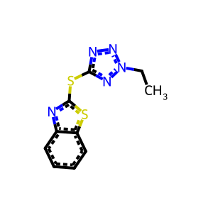 CCn1nnc(Sc2nc3ccccc3s2)n1